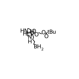 BCCCC[C@@]1(C(=O)OCCOC(=O)C(C)(C)C)NC[C@@H]2NCC[C@@H]21